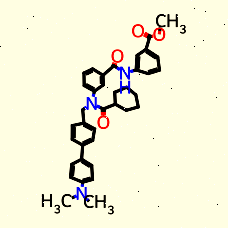 COC(=O)c1cccc(NC(=O)c2cccc(N(Cc3ccc(-c4ccc(N(C)C)cc4)cc3)C(=O)C3CCCCC3)c2)c1